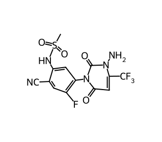 CS(=O)(=O)Nc1cc(-n2c(=O)cc(C(F)(F)F)n(N)c2=O)c(F)cc1C#N